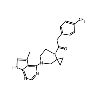 Cc1c[nH]c2ncnc(N3CCN(C(=O)Cc4ccc(C(F)(F)F)cc4)C4(CC4)C3)c12